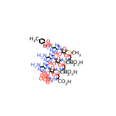 C[S+](CC[C@H](N)C(=O)O)C[C@H]1O[C@@H](n2cnc3c(N)ncnc32)[C@H](O)[C@@H]1O.C[S+](CC[C@H](N)C(=O)O)C[C@H]1O[C@@H](n2cnc3c(N)ncnc32)[C@H](O)[C@@H]1O.C[S+](CC[C@H](N)C(=O)O)C[C@H]1O[C@@H](n2cnc3c(N)ncnc32)[C@H](O)[C@@H]1O.Cc1ccc(S(=O)(=O)[O-])cc1.O=S(=O)([O-])OS(=O)(=O)[O-]